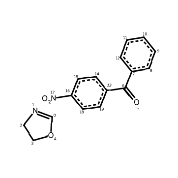 C1=NCCO1.O=C(c1ccccc1)c1ccc([N+](=O)[O-])cc1